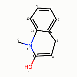 CN1C(O)=CCc2ccccc21